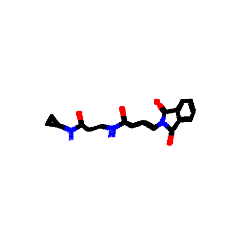 O=C(CCCN1C(=O)c2ccccc2C1=O)NCCC(=O)NC1CC1